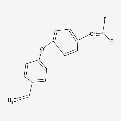 C=Cc1ccc(Oc2cc[c]([Cf]=[C](F)F)cc2)cc1